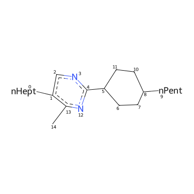 CCCCCCCc1cnc(C2CCC(CCCCC)CC2)nc1C